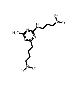 CCN(CC)CCCCc1nc(C)nc(NCCCN(CC)CC)n1